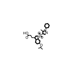 Cc1c(S(=O)(=O)n2cc(CCC(=O)O)c3ccc(OC(C)C)cc32)cnn1-c1ccccc1